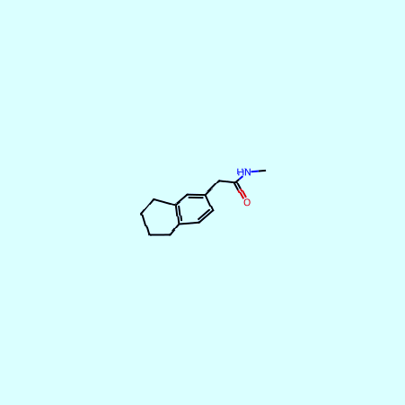 CNC(=O)Cc1ccc2c(c1)CCCC2